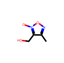 Cc1no[n+]([O-])c1CO